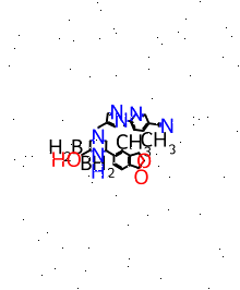 BC(B)(O)C1CN(Cc2cnn(-c3cc(C)c(C#N)cn3)c2)CC(c2ccc3c(c2C)COC3=O)N1